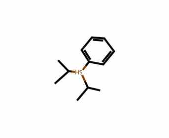 CC(C)[SH](c1ccccc1)C(C)C